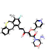 Cc1c(F)cc(/C=C/C(=O)/C(=C/C(=O)N2CCOC[C@H]2N)OCc2ccncc2)c2c1CSc1ccccc1C2